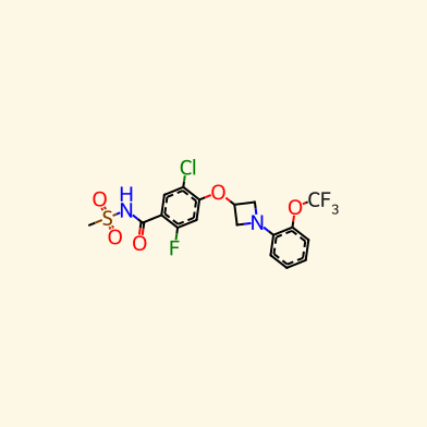 CS(=O)(=O)NC(=O)c1cc(Cl)c(OC2CN(c3ccccc3OC(F)(F)F)C2)cc1F